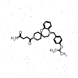 CC(C)Oc1ccc(CN2CCC3(CCN(C(=O)CCC(N)=O)CC3)Oc3ccccc32)cc1